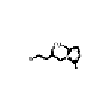 Cc1ncc([N+](=O)[O-])n1CC(O)CCBr